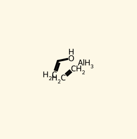 C=C.C=CO.[AlH3]